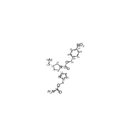 CC(=O)S[C@H]1C[C@@H](c2csc(COC(N)=O)n2)N(C(=O)OCc2ccc([N+](=O)[O-])cc2)C1